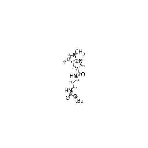 Cn1cc(I)c2cc(C(=O)NCCCNC(=O)OC(C)(C)C)cnc21